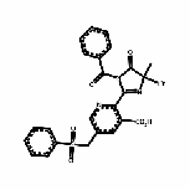 CC(C)C1(C)N=C(c2ncc(CS(=O)(=O)c3ccccc3)cc2C(=O)O)N(C(=O)c2ccccc2)C1=O